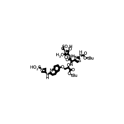 CC(C)(C)OC(=O)Nc1nc(C(=NOC(COc2ccc3nc(NC4CN(C(=O)O)C4)ccc3c2)C(=O)OC(C)(C)C)C(=O)NC2C(=O)N(OS(=O)(=O)O)C2(C)C)cs1